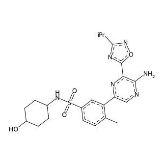 Cc1ccc(S(=O)(=O)NC2CCC(O)CC2)cc1-c1cnc(N)c(-c2nc(C(C)C)no2)n1